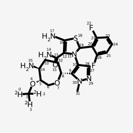 [2H]C([2H])([2H])O[C@H]1CO[C@@H](c2c(N3C(C(N)=O)=C(N)SC3c3c(F)cccc3F)cnn2C)CC[C@@H]1N